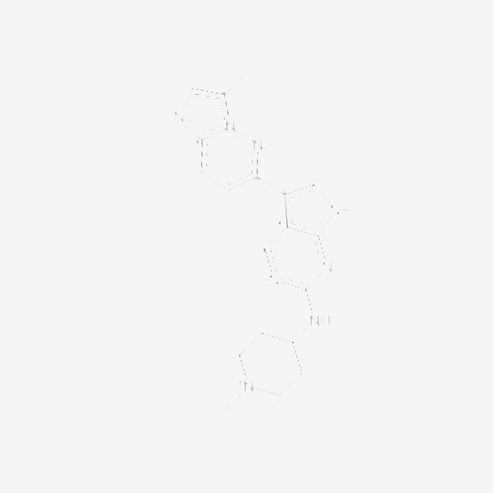 Cc1cnc2ccc(-c3c[nH]c4nc(NC5CCN(C)CC5)ncc34)nn12